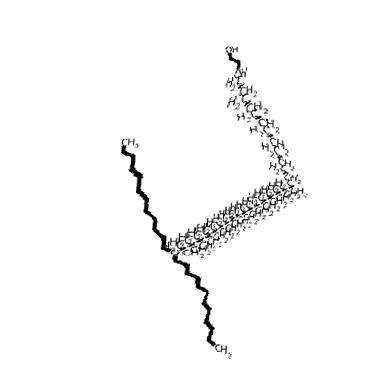 C=C.C=C.C=C.C=C.C=C.C=C.C=C.C=C.C=C.C=C.C=C.C=C.C=C.C=C.C=C.C=C.C=C.C=C.C=C.C=C.C=C.C=C.C=C.CCCCCCCCCCCCOCCCCCCCCCCCC.OCCO